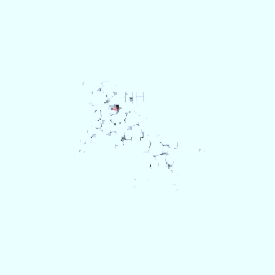 CCCCOc1cc(C(=O)Oc2ccc(C(=O)C(N)C(C)(C)C)cc2OC(=O)c2cc(OCCCC)c(OCCCC)c(OCCCC)c2)cc(OCCCC)c1OCCCC